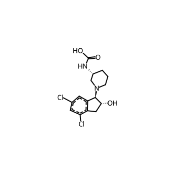 O=C(O)N[C@@H]1CCCN([C@@H]2c3cc(Cl)cc(Cl)c3C[C@H]2O)C1